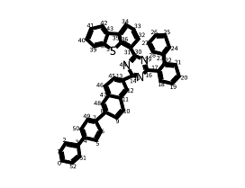 c1ccc(-c2ccc(-c3ccc4cc(-c5nc(-c6ccccc6-c6ccccc6)nc(-c6cccc7c6sc6ccccc67)n5)ccc4c3)cc2)cc1